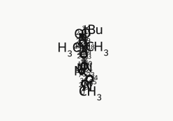 Cc1ccc2c(-c3cnn4cc(-c5ccc(N6[C@H](C)CN(C(=O)OC(C)(C)C)C[C@@H]6C)cc5)cnc34)cccc2n1